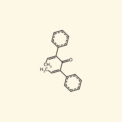 C/C=C(\C(=O)/C(=C\C)c1ccccc1)c1ccccc1